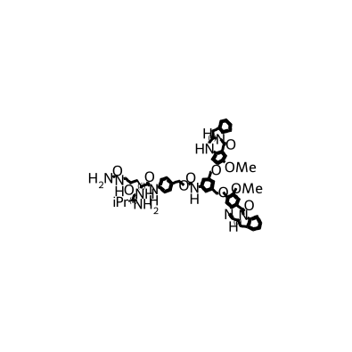 COc1cc2c(cc1OCc1cc(COc3cc4c(cc3OC)C(=O)N3c5ccccc5C[C@H]3CN4)cc(NC(=O)OCc3ccc(NC(=O)[C@H](CCCNC(N)=O)NC(=O)[C@@H](N)C(C)C)cc3)c1)N=C[C@@H]1Cc3ccccc3N1C2=O